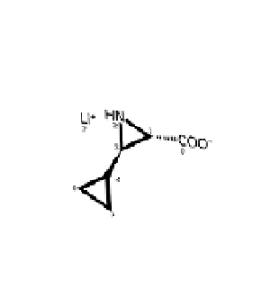 O=C([O-])[C@H]1N[C@@H]1C1CC1.[Li+]